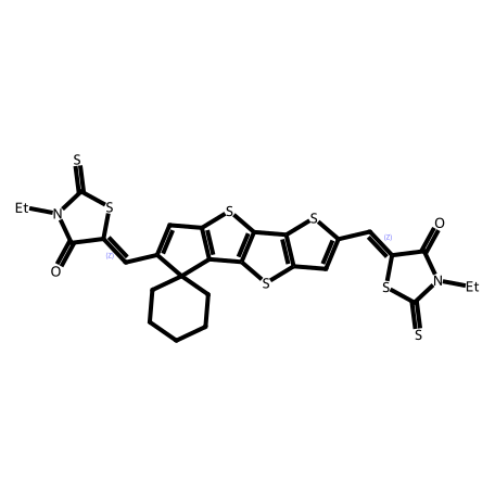 CCN1C(=O)/C(=C/C2=Cc3sc4c(sc5cc(/C=C6\SC(=S)N(CC)C6=O)sc54)c3C23CCCCC3)SC1=S